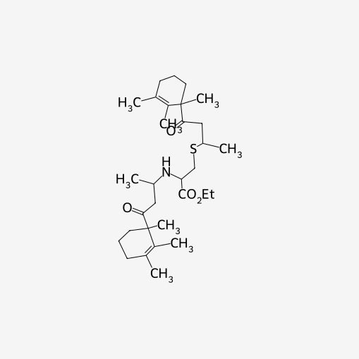 CCOC(=O)C(CSC(C)CC(=O)C1(C)CCCC(C)=C1C)NC(C)CC(=O)C1(C)CCCC(C)=C1C